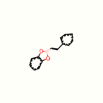 C(=Cc1ccccc1)B1Oc2ccccc2O1